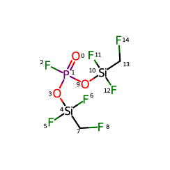 O=P(F)(O[Si](F)(F)CF)O[Si](F)(F)CF